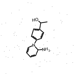 CC(O)c1ccc(N2C=CC=CC2N)cc1